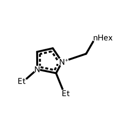 CCCCCCC[n+]1ccn(CC)c1CC